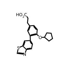 O=C(O)CCc1ccc(OC2CCCC2)c(-c2ccc3ncsc3c2)c1